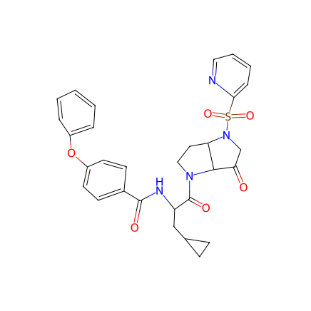 O=C(NC(CC1CC1)C(=O)N1CCC2C1C(=O)CN2S(=O)(=O)c1ccccn1)c1ccc(Oc2ccccc2)cc1